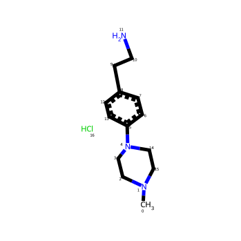 CN1CCN(c2ccc(CCN)cc2)CC1.Cl